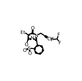 C#CCn1c2nc(c(CC)c1=O)OS(=O)(=O)c1ccccc1-2.FC(F)F